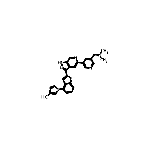 Cc1cn(-c2cccc3[nH]c(-c4n[nH]c5cnc(-c6cncc(CN(C)C)c6)cc45)cc23)cn1